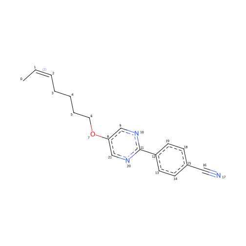 C/C=C\CCCCOc1cnc(-c2ccc(C#N)cc2)nc1